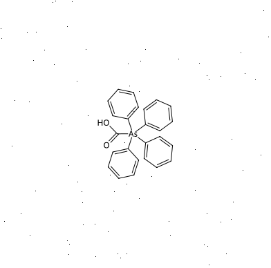 O=C(O)[As](c1ccccc1)(c1ccccc1)(c1ccccc1)c1ccccc1